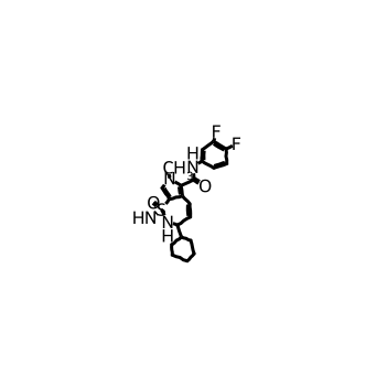 Cn1cc2c(c1C(=O)Nc1ccc(F)c(F)c1)C=CC(C1CCCCC1)NS2(=N)=O